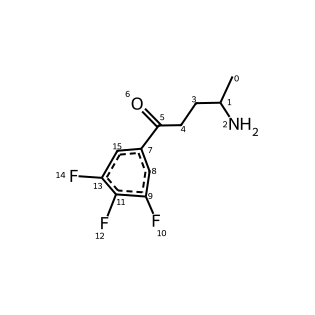 CC(N)CCC(=O)c1cc(F)c(F)c(F)c1